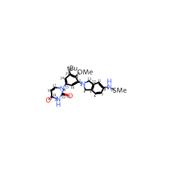 COc1c(N2Cc3ccc(NSC)cc3C2)cc(-n2ccc(=O)[nH]c2=O)cc1C(C)(C)C